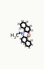 C=CN1c2ccc3ccccc3c2Oc2ccc3ccccc3c21